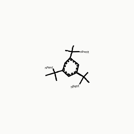 CCCCCC(C)(C)c1[c]c(C(C)(C)CCCCC)cc(C(C)(C)CCCCC)c1